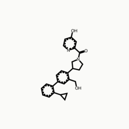 O=C(c1cc(O)ccn1)N1CCC(c2ccc(-c3ccccc3C3CC3)cc2CO)C1